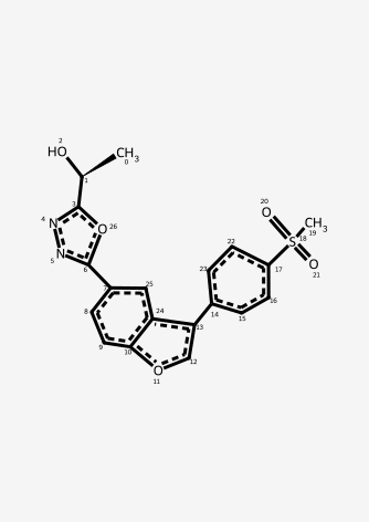 C[C@H](O)c1nnc(-c2ccc3occ(-c4ccc(S(C)(=O)=O)cc4)c3c2)o1